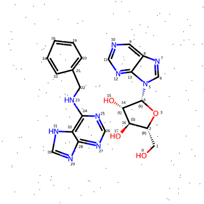 OC[C@H]1O[C@@H](n2cnc3cncnc32)[C@@H](O)[C@@H]1O.c1ccc(CNc2ncnc3nc[nH]c23)cc1